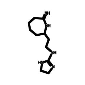 N=C1CCCCC(CCNC2=NCCN2)N1